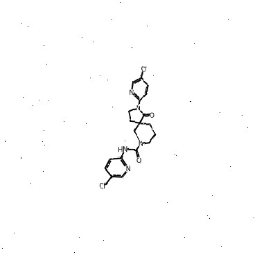 O=C(Nc1ccc(Cl)cn1)N1CCCC2(CCN(c3ccc(Cl)cn3)C2=O)C1